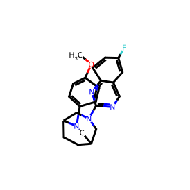 COc1ccc(N2CC3CCC2CN(c2ncc4cc(F)ccc4n2)C3)cc1